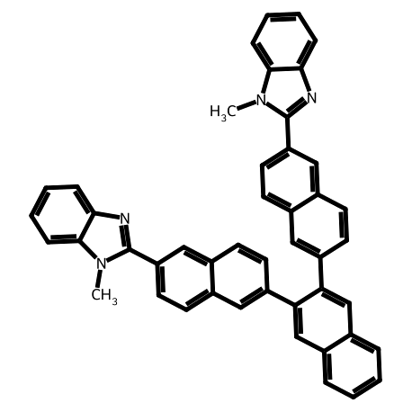 Cn1c(-c2ccc3cc(-c4cc5ccccc5cc4-c4ccc5cc(-c6nc7ccccc7n6C)ccc5c4)ccc3c2)nc2ccccc21